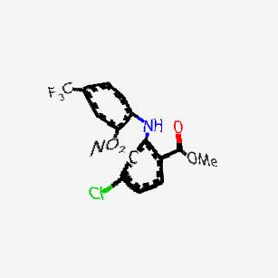 COC(=O)c1ccc(Cl)cc1Nc1ccc(C(F)(F)F)cc1[N+](=O)[O-]